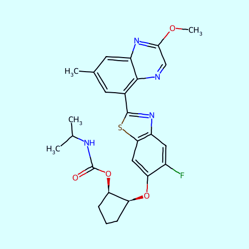 COc1cnc2c(-c3nc4cc(F)c(O[C@H]5CCC[C@H]5OC(=O)NC(C)C)cc4s3)cc(C)cc2n1